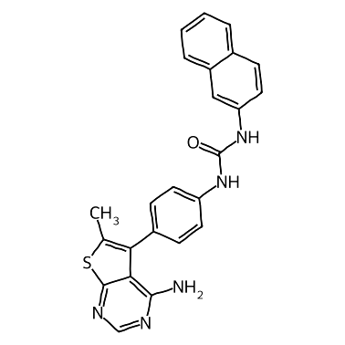 Cc1sc2ncnc(N)c2c1-c1ccc(NC(=O)Nc2ccc3ccccc3c2)cc1